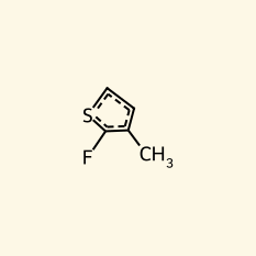 Cc1ccsc1F